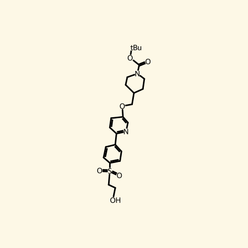 CC(C)(C)OC(=O)N1CCC(COc2ccc(-c3ccc(S(=O)(=O)CCO)cc3)nc2)CC1